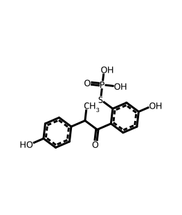 CC(C(=O)c1ccc(O)cc1SP(=O)(O)O)c1ccc(O)cc1